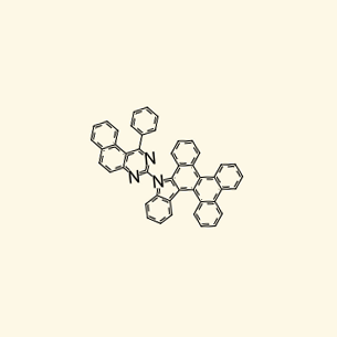 c1ccc(-c2nc(-n3c4ccccc4c4c5c6ccccc6c6ccccc6c5c5ccccc5c43)nc3ccc4ccccc4c23)cc1